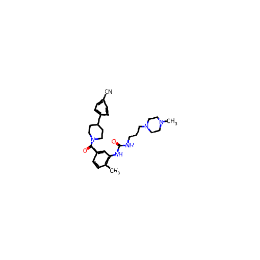 Cc1ccc(C(=O)N2CCC(c3ccc(C#N)cc3)CC2)cc1NC(=O)NCCCN1CCN(C)CC1